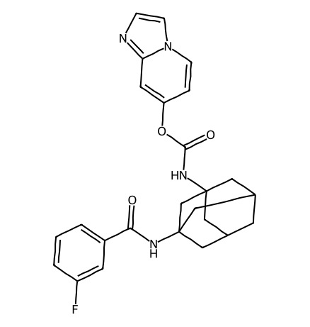 O=C(NC12CC3CC(C1)CC(NC(=O)c1cccc(F)c1)(C3)C2)Oc1ccn2ccnc2c1